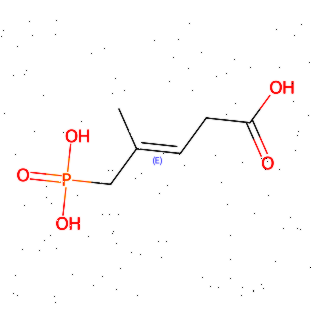 C/C(=C\CC(=O)O)CP(=O)(O)O